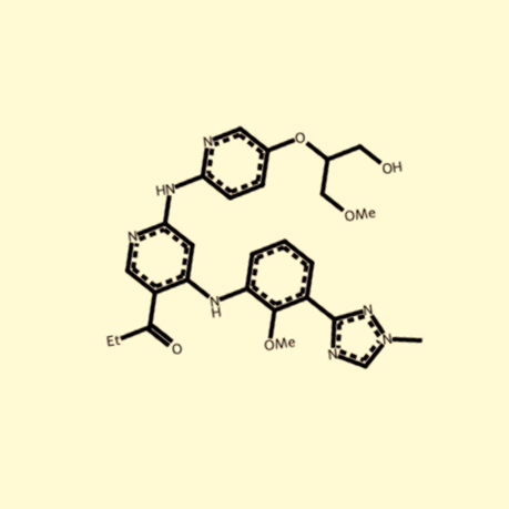 CCC(=O)c1cnc(Nc2ccc(OC(CO)COC)cn2)cc1Nc1cccc(-c2ncn(C)n2)c1OC